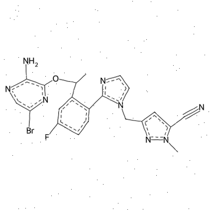 CC(Oc1nc(Br)cnc1N)c1cc(F)ccc1-c1nccn1Cc1cc(C#N)n(C)n1